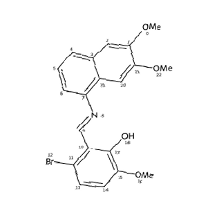 COc1cc2cccc(N=Cc3c(Br)ccc(OC)c3O)c2cc1OC